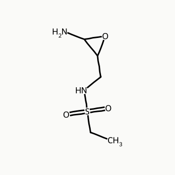 CCS(=O)(=O)NCC1OC1N